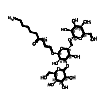 NCCCCCC(=O)NCCO[C@H]1O[C@H](CO[C@H]2O[C@H](CO)[C@@H](O)[C@H](O)[C@@H]2O)[C@@H](O)[C@H](OC2O[C@H](CO)[C@@H](O)[C@H](O)[C@@H]2O)[C@@H]1O